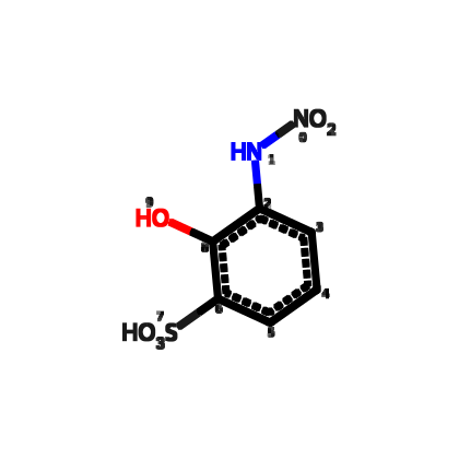 O=[N+]([O-])Nc1cccc(S(=O)(=O)O)c1O